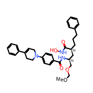 COCOC[C@H](C[C@H](CCCc1ccccc1)C(=O)NO)NC(=O)c1ccc(N2CC=C(c3ccccc3)CC2)cc1